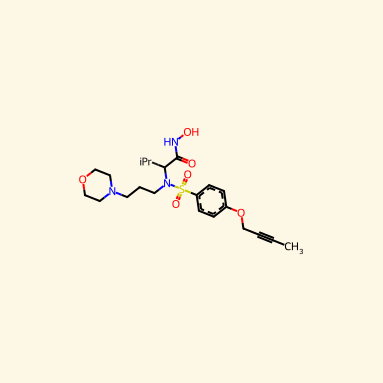 CC#CCOc1ccc(S(=O)(=O)N(CCCN2CCOCC2)C(C(=O)NO)C(C)C)cc1